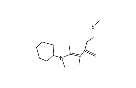 C=C(CCSC)/C(C)=C(\C)N(C)C1CCCCC1